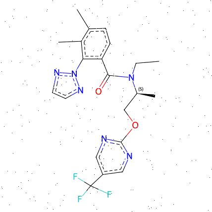 CCN(C(=O)c1ccc(C)c(C)c1-n1nccn1)[C@@H](C)COc1ncc(C(F)(F)F)cn1